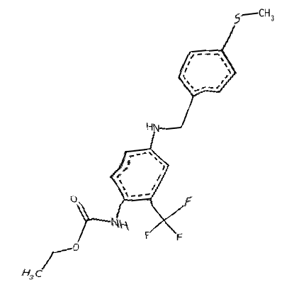 CCOC(=O)Nc1ccc(NCc2ccc(SC)cc2)cc1C(F)(F)F